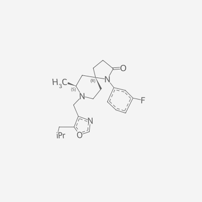 CC(C)Cc1ocnc1CN1CC[C@]2(CCC(=O)N2c2cccc(F)c2)C[C@@H]1C